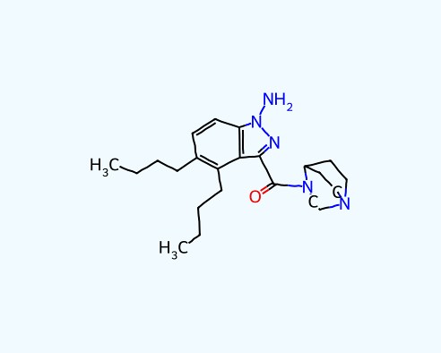 CCCCc1ccc2c(c(C(=O)N3CCN4CCC3CC4)nn2N)c1CCCC